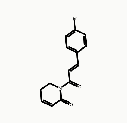 O=C1C=CCCN1C(=O)/C=C/c1ccc(Br)cc1